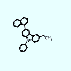 CCc1ccc2c(c1)c1cc(-c3cccc4ccccc34)ccc1n2-c1ccccc1